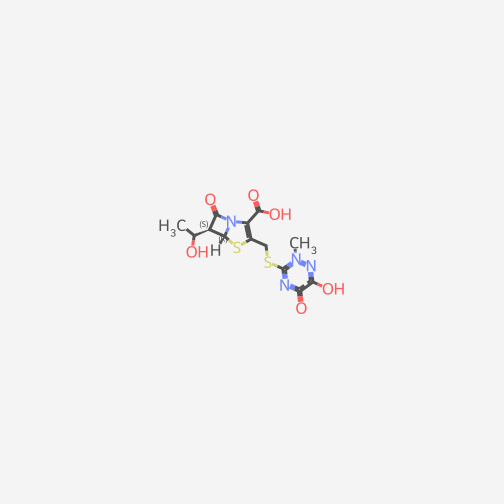 CC(O)[C@H]1C(=O)N2C(C(=O)O)=C(CSc3nc(=O)c(O)nn3C)S[C@H]12